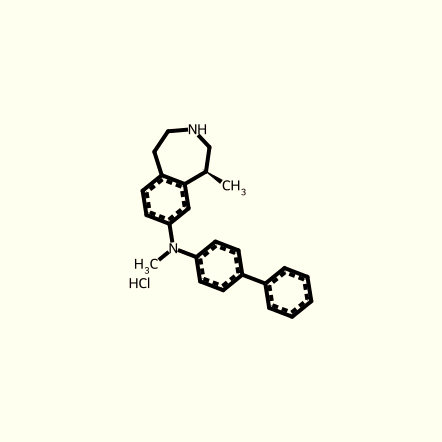 C[C@@H]1CNCCc2ccc(N(C)c3ccc(-c4ccccc4)cc3)cc21.Cl